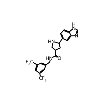 O=C(NCc1cc(C(F)(F)F)cc(C(F)(F)F)c1)[C@H]1CNC(c2ccc3[nH]cnc3c2)C1